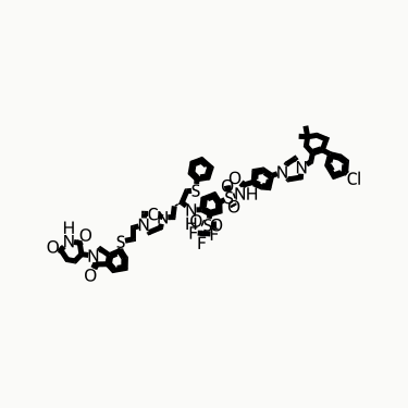 CC1(C)CCC(c2ccc(Cl)cc2)=C(CN2CCN(c3ccc(C(=O)NS(=O)(=O)c4ccc(N[C@H](CCN5CCN(CCSc6cccc7c6CN(C6CCC(=O)NC6=O)C7=O)CC5)CSc5ccccc5)c(S(=O)(=O)C(F)(F)F)c4)cc3)CC2)C1